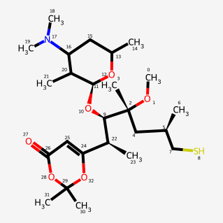 CO[C@](C)(C[C@@H](C)CS)[C@H](O[C@@H]1OC(C)CC(N(C)C)C1C)[C@@H](C)C1=CC(=O)OC(C)(C)O1